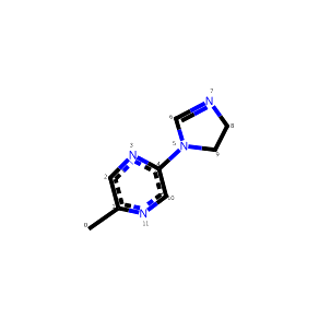 Cc1cnc(N2C=NCC2)cn1